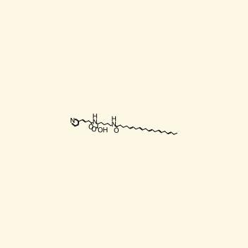 CCC=CCC=CCC=CCC=CCC=CCCCC(=O)NCCCCC(NC(=O)CC=Cc1cccnc1)C(=O)O